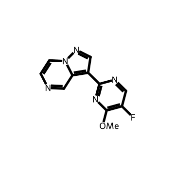 COc1nc(-c2cnn3ccncc23)ncc1F